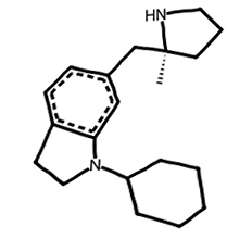 C[C@@]1(Cc2ccc3c(c2)N(C2CCCCC2)CC3)CCCN1